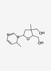 CC1C=CN=CN1C1CC(C)(CO)C(CO)O1